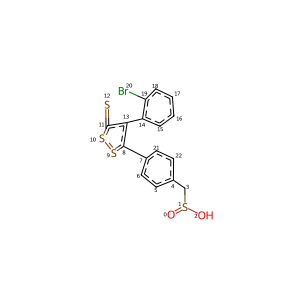 O=S(O)Cc1ccc(-c2ssc(=S)c2-c2ccccc2Br)cc1